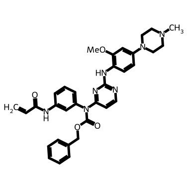 C=CC(=O)Nc1cccc(N(C(=O)OCc2ccccc2)c2ccnc(Nc3ccc(N4CCN(C)CC4)cc3OC)n2)c1